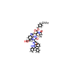 CON=C(C(=O)NC1S[C@H]2CC(=O)N2C(C(=O)OCc2ccc(OC)cc2)=C1Sc1nc2ccc(CO)cc2s1)c1csc(NC(c2ccccc2)(c2ccccc2)c2ccccc2)n1